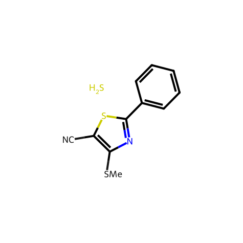 CSc1nc(-c2ccccc2)sc1C#N.S